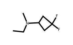 CCN(C)C1CC(F)(F)C1